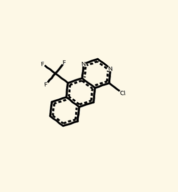 FC(F)(F)c1c2ccccc2cc2c(Cl)ncnc12